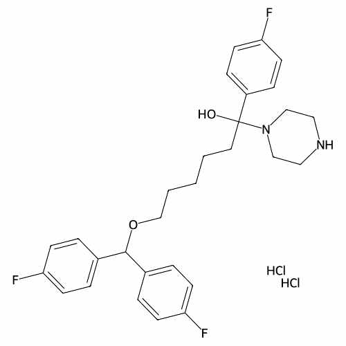 Cl.Cl.OC(CCCCCOC(c1ccc(F)cc1)c1ccc(F)cc1)(c1ccc(F)cc1)N1CCNCC1